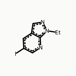 CCn1ncc2cc(I)cnc21